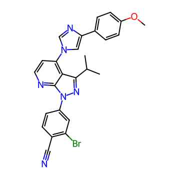 COc1ccc(-c2cn(-c3ccnc4c3c(C(C)C)nn4-c3ccc(C#N)c(Br)c3)cn2)cc1